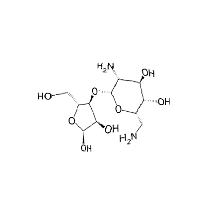 NC[C@@H]1O[C@H](O[C@H]2[C@@H](O)[C@@H](O)O[C@@H]2CO)[C@H](N)[C@@H](O)[C@@H]1O